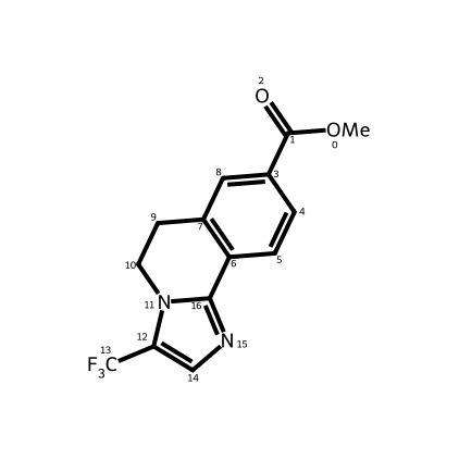 COC(=O)c1ccc2c(c1)CCn1c(C(F)(F)F)cnc1-2